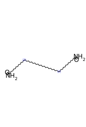 NC(=O)CCCCCCCCCCC/C=C\CCCCCCCCCCCCCCCCCCCC/C=C\CCCCCCCCCCCC(N)=O